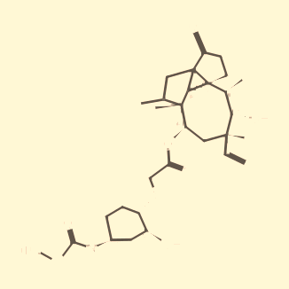 C=C[C@]1(C)C[C@@H](OC(=O)CS[C@H]2CC[C@H](NC(=O)OC(C)(C)C)C[C@@H]2O)[C@]2(C)C(C)CC34C(=O)CC[C@@]3([C@@H](C)[C@@H]1O)[C@@H]42